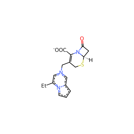 CCc1cn(CC2=C(C(=O)[O-])N3C(=O)C[C@H]3SC2)cc2ccc[n+]1-2